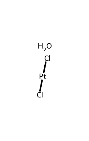 O.[Cl][Pt][Cl]